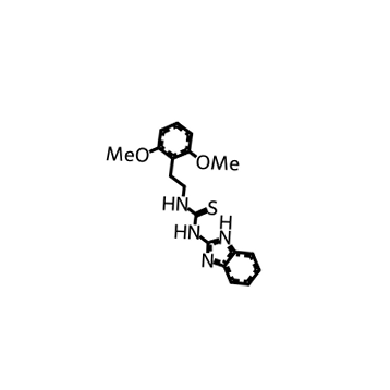 COc1cccc(OC)c1CCNC(=S)Nc1nc2ccccc2[nH]1